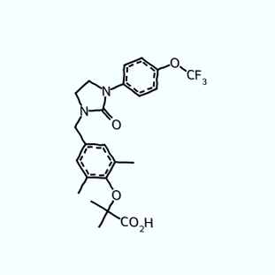 Cc1cc(CN2CCN(c3ccc(OC(F)(F)F)cc3)C2=O)cc(C)c1OC(C)(C)C(=O)O